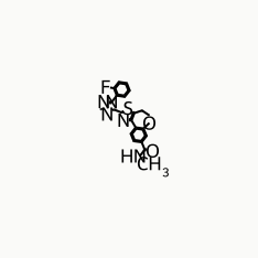 CNC(=O)c1ccc2c(c1)OCCc1sc(-c3ncnn3-c3ccccc3F)nc1-2